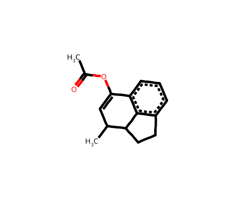 CC(=O)OC1=CC(C)C2CCc3cccc1c32